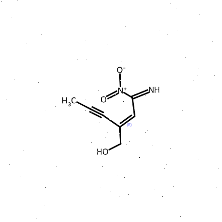 CC#C/C(=C\C(=N)[N+](=O)[O-])CO